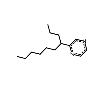 CCCCCCC(CCC)c1cnccn1